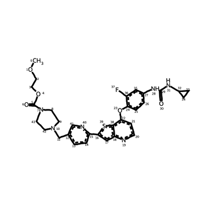 COCCOC(=O)N1CCN(Cc2ccc(-c3cc4nccc(Oc5ccc(NC(=O)NC6CC6)cc5F)c4s3)nc2)CC1